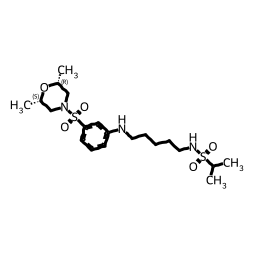 CC(C)S(=O)(=O)NCCCCCNc1cccc(S(=O)(=O)N2C[C@@H](C)O[C@@H](C)C2)c1